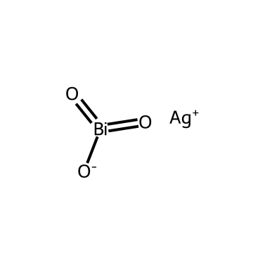 [Ag+].[O]=[Bi](=[O])[O-]